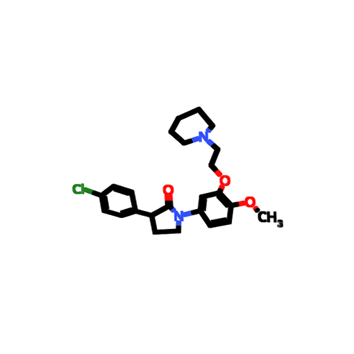 COc1ccc(N2CCC(c3ccc(Cl)cc3)C2=O)cc1OCCN1CCCCC1